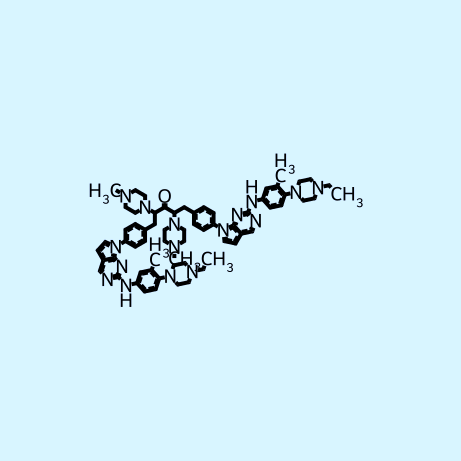 CCN1CCN(c2ccc(Nc3ncc4ccn(-c5ccc(CC(C(=O)C(Cc6ccc(-n7ccc8cnc(Nc9ccc(N%10CCN(CC)CC%10)c(C)c9)nc87)cc6)N6CCN(C)CC6)N6CCN(C)CC6)cc5)c4n3)cc2C)CC1